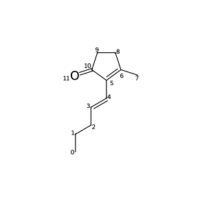 CCC/C=C/C1=C(C)CCC1=O